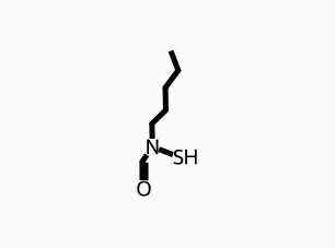 CCCCCN(S)C=O